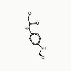 [O]CC(=O)Nc1ccc(N[C]=O)cc1